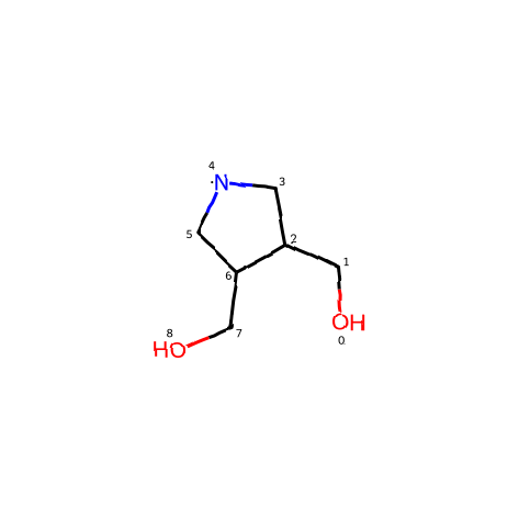 OCC1C[N]CC1CO